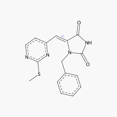 CSc1nccc(/C=C2/C(=O)NC(=O)N2Cc2ccccc2)n1